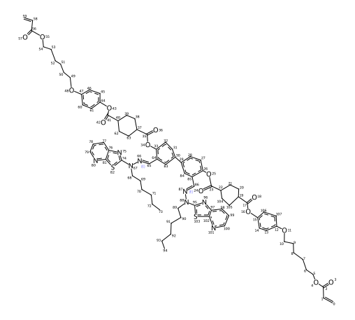 C=CC(=O)OCCCCCCOc1ccc(OC(=O)C2CCC(C(=O)Oc3ccc(-c4ccc(OC(=O)C5CCC(C(=O)Oc6ccc(OCCCCCCOC(=O)C=C)cc6)CC5)c(/C=N/N(CCCCCC)c5nc6cccnc6s5)c4)cc3/C=N/N(CCCCCC)c3nc4cccnc4s3)CC2)cc1